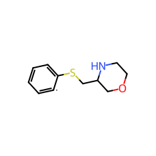 [c]1ccccc1SCC1COCCN1